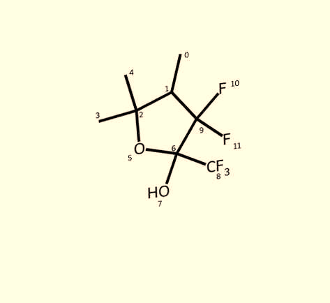 CC1C(C)(C)OC(O)(C(F)(F)F)C1(F)F